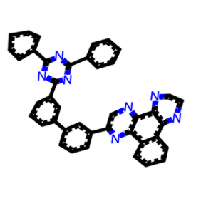 c1ccc(-c2nc(-c3ccccc3)nc(-c3cccc(-c4cccc(-c5cnc6c(n5)c5ccccc5c5nccnc56)c4)c3)n2)cc1